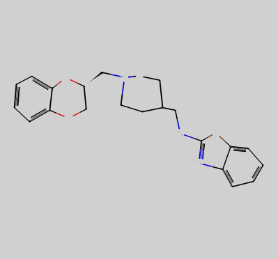 c1ccc2c(c1)OC[C@H](CN1CCC(CNc3nc4ccccc4s3)CC1)O2